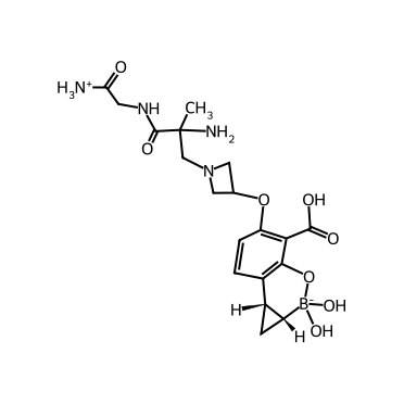 CC(N)(CN1CC(Oc2ccc3c(c2C(=O)O)O[B-](O)(O)[C@@H]2C[C@H]32)C1)C(=O)NCC([NH3+])=O